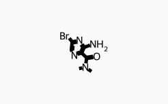 CN(C)C(=O)c1ncc(Br)nc1N